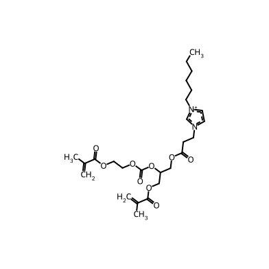 C=C(C)C(=O)OCCOC(=O)OC(COC(=O)CCn1cc[n+](CCCCCC)c1)COC(=O)C(=C)C